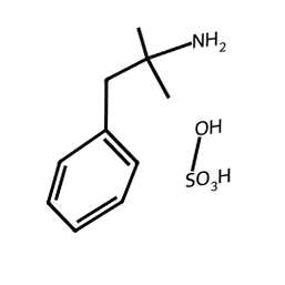 CC(C)(N)Cc1ccccc1.O=S(=O)(O)O